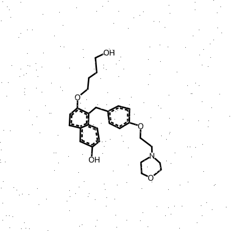 OCCCCOc1ccc2cc(O)ccc2c1Cc1ccc(OCCN2CCOCC2)cc1